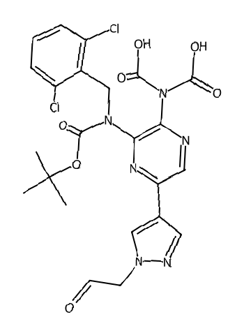 CC(C)(C)OC(=O)N(Cc1c(Cl)cccc1Cl)c1nc(-c2cnn(CC=O)c2)cnc1N(C(=O)O)C(=O)O